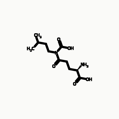 CC(C)CCN(C(=O)O)C(=O)CC[C@H](N)C(=O)O